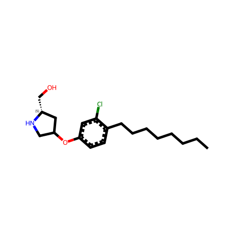 CCCCCCCCc1ccc(OC2CN[C@H](CO)C2)cc1Cl